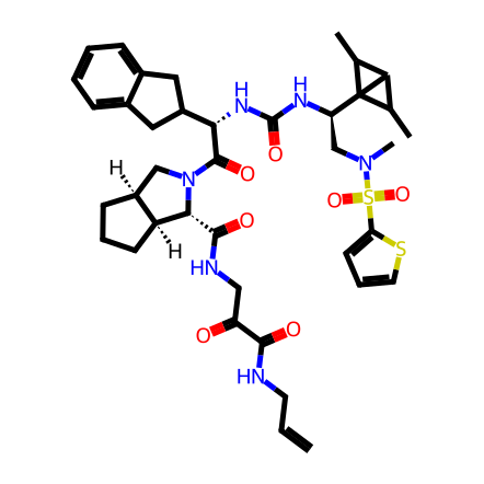 C=CCNC(=O)C(=O)CNC(=O)[C@@H]1[C@H]2CCC[C@H]2CN1C(=O)[C@@H](NC(=O)N[C@H](CN(C)S(=O)(=O)c1cccs1)C12C(C)C1C2C)C1Cc2ccccc2C1